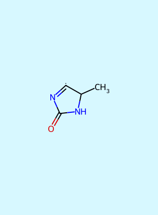 CC1[C]=NC(=O)N1